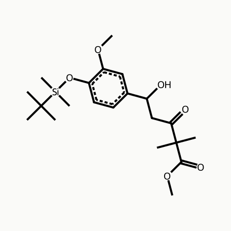 COC(=O)C(C)(C)C(=O)CC(O)c1ccc(O[Si](C)(C)C(C)(C)C)c(OC)c1